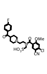 COc1cc(Cl)c(C#N)cc1C(=O)N(CCN1CCC(C(=O)c2ccc(F)cc2)CC1)CS(=O)(=O)O